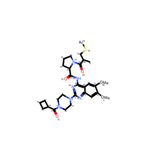 COc1cc2nc(N3CCN(C(=O)C4CCC4)CC3)nc(NC(=O)C3CCCN3C(=O)C(C)CSC(C)=O)c2cc1OC